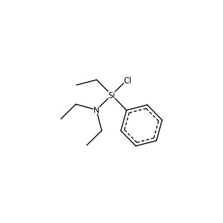 CCN(CC)[Si](Cl)(CC)c1ccccc1